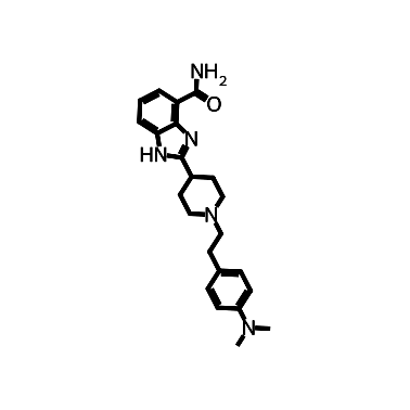 CN(C)c1ccc(CCN2CCC(c3nc4c(C(N)=O)cccc4[nH]3)CC2)cc1